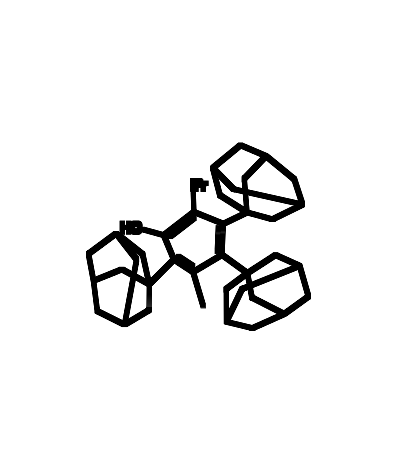 Cc1c(C23CC4CC(CC(C4)C2)C3)c(O)c(C(C)C)c(C23CC4CC(CC(C4)C2)C3)c1C12CC3CC(CC(C3)C1)C2